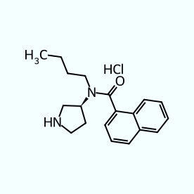 CCCCN(C(=O)c1cccc2ccccc12)[C@H]1CCNC1.Cl